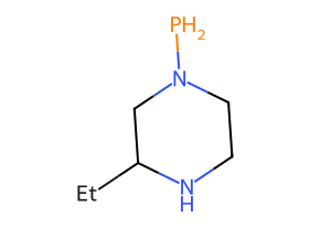 CCC1CN(P)CCN1